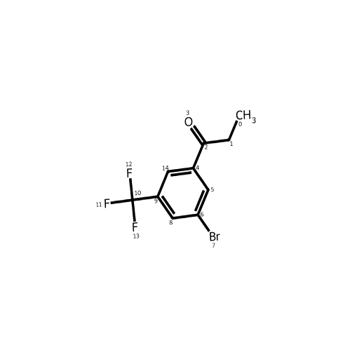 CCC(=O)c1cc(Br)cc(C(F)(F)F)c1